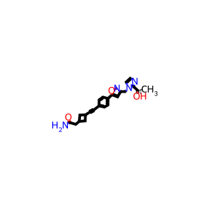 C[C@H](O)c1nccn1Cc1cc(-c2ccc(C#CC3CC(CC(N)=O)C3)cc2)on1